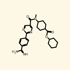 CN(C(=O)c1cnc(-c2ccc(C(=N)N)cc2)nc1)C1CCC(C(=O)OC2CCCCC2)CC1